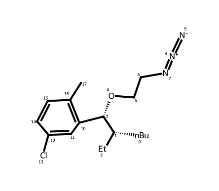 CCCC[C@H](CC)[C@@H](OCCN=[N+]=[N-])c1cc(Cl)ccc1C